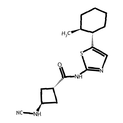 C[C@H]1CCCC[C@@H]1c1cnc(NC(=O)[C@H]2C[C@H](NC#N)C2)s1